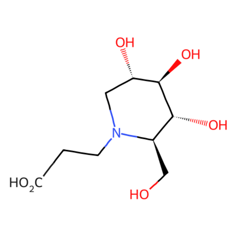 O=C(O)CCN1C[C@H](O)[C@@H](O)[C@H](O)[C@H]1CO